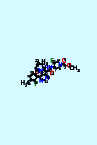 COCC(=O)N1CCC(NC(=O)c2c(C)[nH]c3c(-c4c(OCC5CC5)ccc(C)c4F)ncnc23)C(F)C1